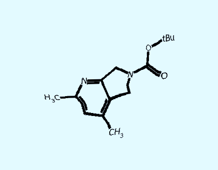 Cc1cc(C)c2c(n1)CN(C(=O)OC(C)(C)C)C2